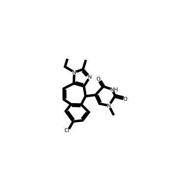 CCn1c(C)nc2c1C=Cc1cc(Cl)ccc1C2c1cn(C)c(=O)[nH]c1=O